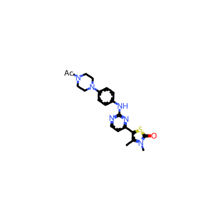 CC(=O)N1CCN(c2ccc(Nc3nccc(-c4sc(=O)n(C)c4C)n3)cc2)CC1